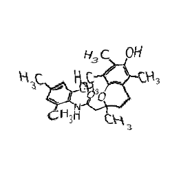 Cc1cc(C)c(NC(=O)CC2(C)CCc3c(C)c(O)c(C)c(C)c3O2)c(C)c1